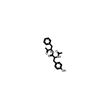 CC(=O)NC(Cc1ccc(O)cc1)C(=O)NC(Cc1ccccc1)C(C)=O